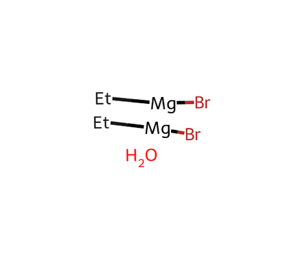 C[CH2][Mg][Br].C[CH2][Mg][Br].O